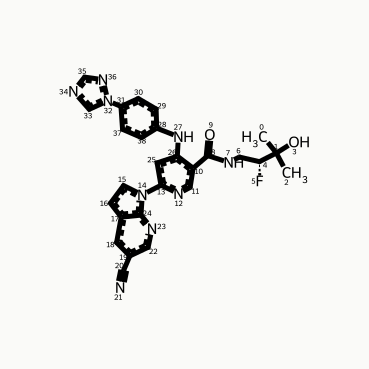 CC(C)(O)[C@H](F)CNC(=O)c1cnc(-n2ccc3cc(C#N)cnc32)cc1Nc1ccc(-n2cncn2)cc1